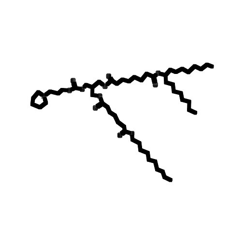 CCCCCCCCCCOC(=O)CCCCCC(=O)OCC(COC(=O)CCCCCCC(=O)OC(CCCCCCCC)CCCCCCCC)COC(=O)OCCCN1CCCCC1